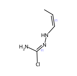 C/C=C\N/N=C(\N)Cl